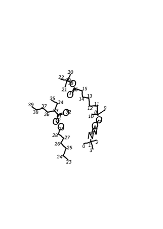 CC(C)(C)N=NOOC(C)(C)CCCCCC(=O)OC(C)(C)C.CCCCCCOOC(=O)C(CC)CCCC